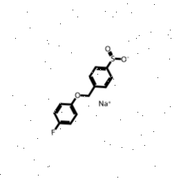 O=S([O-])c1ccc(COc2ccc(F)cc2)cc1.[Na+]